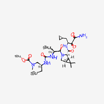 CN(C[C@H](CC(C)(C)C)NC(=O)N[C@H](C(=O)N1C[C@H]2[C@@H]([C@H]1C(=O)NC(CC1CC1)C(=O)C(N)=O)C2(C)C)C(C)(C)C)C(=O)OC(C)(C)C